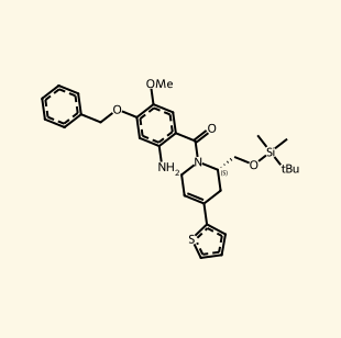 COc1cc(C(=O)N2CC=C(c3cccs3)C[C@H]2CO[Si](C)(C)C(C)(C)C)c(N)cc1OCc1ccccc1